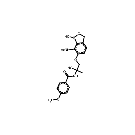 CC(=O)Nc1c(OCC(C)(C#N)NC(=O)c2ccc(OC(F)(F)F)cc2)ccc2c1B(O)OC2